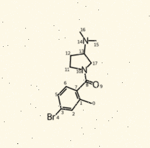 Cc1cc(Br)ccc1C(=O)N1CCC(N(C)C)C1